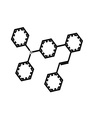 C(=Cc1ccccc1-c1ccc(N(c2ccccc2)c2ccccc2)cc1)c1ccccc1